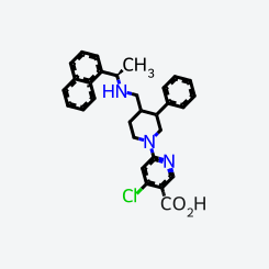 C[C@@H](NCC1CCN(c2cc(Cl)c(C(=O)O)cn2)CC1c1ccccc1)c1cccc2ccccc12